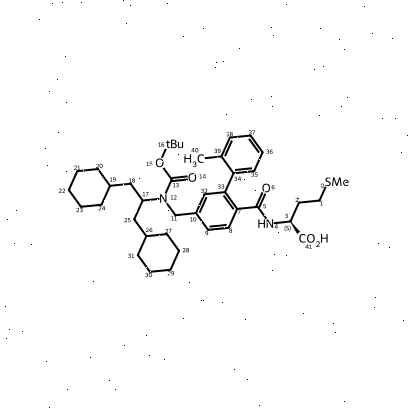 CSCC[C@H](NC(=O)c1ccc(CN(C(=O)OC(C)(C)C)C(CC2CCCCC2)CC2CCCCC2)cc1-c1ccccc1C)C(=O)O